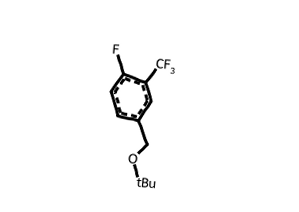 CC(C)(C)OCc1ccc(F)c(C(F)(F)F)c1